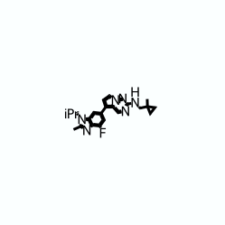 Cc1nc2c(F)cc(-c3ccn4nc(NCC5(C)CC5)ncc34)cc2n1C(C)C